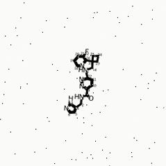 O=C(NCc1ccn[nH]1)c1ccc(NCC2(c3ncccc3F)CCC2)nn1